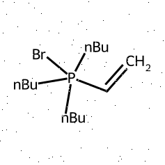 C=CP(Br)(CCCC)(CCCC)CCCC